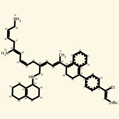 CCCC/C=C(\CC)c1ccc(C2=c3ccccc3=C(/C(C)=C/C=C(/C/C=C\C=C(/N)C/C=C\CN)CNC3CCCC4=C3CCCC4)CC2)cc1